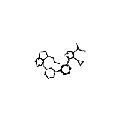 CCCC1CCc2cnn(C3CCCC(c4cccc(-n5ncc(C(=O)O)c5C5CC5)c4)C3)c21